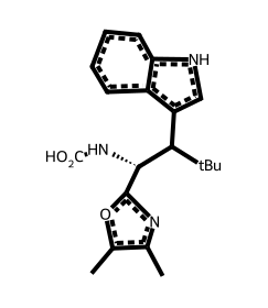 Cc1nc([C@H](NC(=O)O)C(c2c[nH]c3ccccc23)C(C)(C)C)oc1C